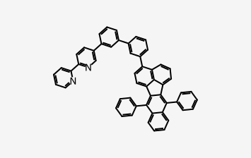 c1ccc(-c2c3c(c(-c4ccccc4)c4ccccc24)-c2ccc(-c4cccc(-c5cccc(-c6ccc(-c7ccccn7)nc6)c5)c4)c4cccc-3c24)cc1